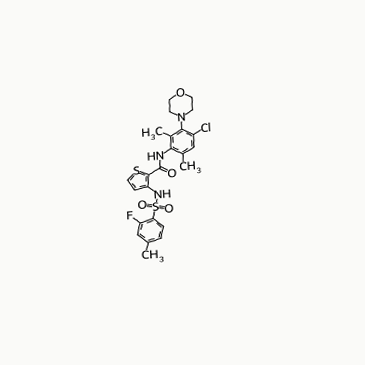 Cc1ccc(S(=O)(=O)Nc2ccsc2C(=O)Nc2c(C)cc(Cl)c(N3CCOCC3)c2C)c(F)c1